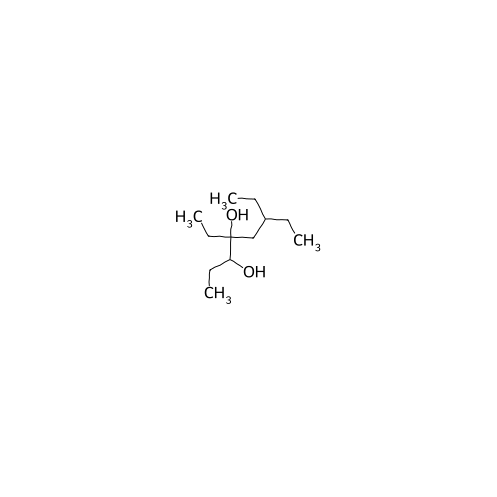 CCC(CC)CC(O)(CC)C(O)CC